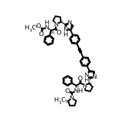 COC(=O)N[C@@H](C(=O)N1CCC[C@H]1c1ncc(-c2ccc(C#Cc3ccc(-c4cnc([C@@H]5CCCN5C(=O)[C@H](NC(=O)N5CCC[C@@H]5C)c5ccccc5)[nH]4)cc3)cc2)[nH]1)c1ccccc1